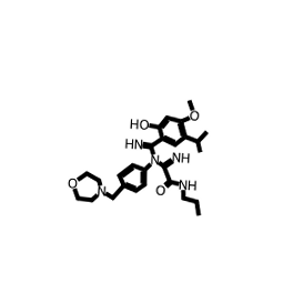 CCCNC(=O)C(=N)N(C(=N)c1cc(C(C)C)c(OC)cc1O)c1ccc(CN2CCOCC2)cc1